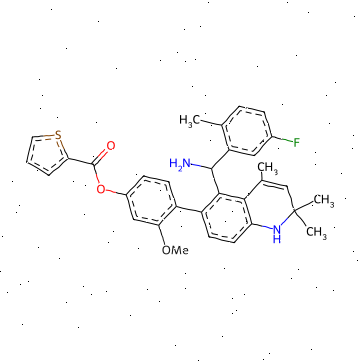 COc1cc(OC(=O)c2cccs2)ccc1-c1ccc2c(c1C(N)c1cc(F)ccc1C)C(C)=CC(C)(C)N2